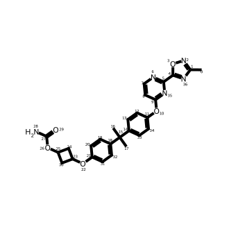 Cc1noc(-c2nccc(Oc3ccc(C(C)(C)c4ccc(OC5CC(OC(N)=O)C5)cc4)cc3)n2)n1